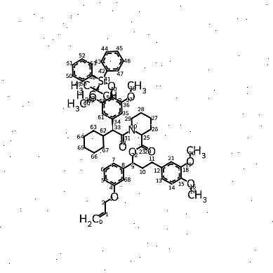 C=CCOc1cccc(C(CCc2ccc(OC)c(OC)c2)OC(=O)C2CCCCN2C(=O)[C@H](c2cc(OC)c(O[Si](c3ccccc3)(c3ccccc3)C(C)(C)C)c(OC)c2)C2CCCCC2)c1